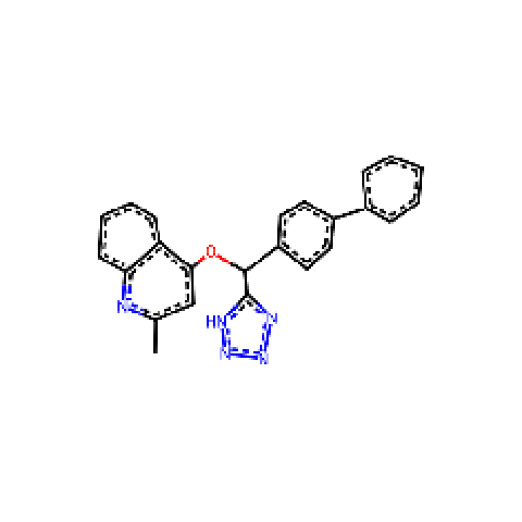 Cc1cc(OC(c2ccc(-c3ccccc3)cc2)c2nnn[nH]2)c2ccccc2n1